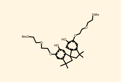 COCCOCCOc1cc2c(cc1O)C1(CC2(C)C)CC(C)(C)c2cc(OCCOCCOC)c(O)cc21